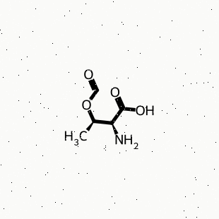 C[C@@H](OC=O)[C@H](N)C(=O)O